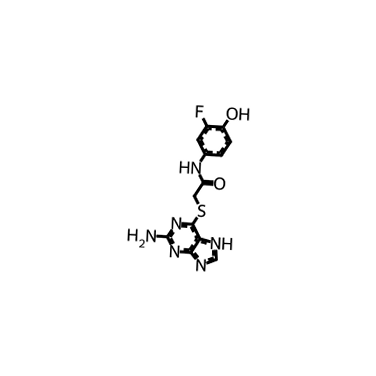 Nc1nc(SCC(=O)Nc2ccc(O)c(F)c2)c2[nH]cnc2n1